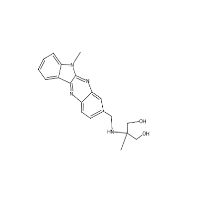 Cn1c2ccccc2c2nc3ccc(CNC(C)(CO)CO)cc3nc21